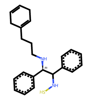 SNC(c1ccccc1)[C@H](NCCCC1=CCC=CC1)c1ccccc1